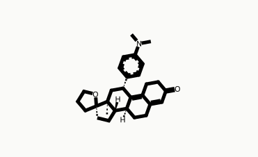 CN(C)c1ccc([C@H]2C[C@@]3(C)[C@@H](CC[C@@]34CCCO4)[C@@H]3CCC4=CC(=O)CCC4=C32)cc1